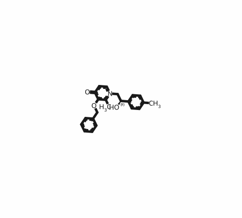 Cc1ccc([C@@H](O)Cn2ccc(=O)c(OCc3ccccc3)c2C)cc1